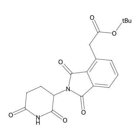 CC(C)(C)OC(=O)Cc1cccc2c1C(=O)N(C1CCC(=O)NC1=O)C2=O